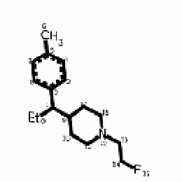 CCC(c1ccc(C)cc1)C1CCN(CCF)CC1